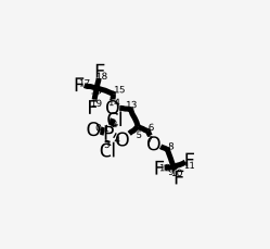 O=P(Cl)(Cl)OC(COCC(F)(F)F)COCC(F)(F)F